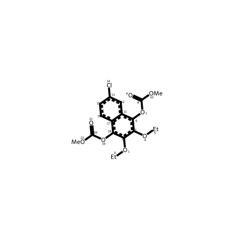 CCOc1c(OCC)c(OC(=O)OC)c2cc(Cl)ccc2c1OC(=O)OC